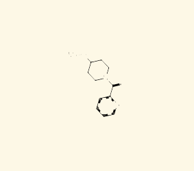 COC1CCN(C(=O)c2cc[c]cn2)CC1